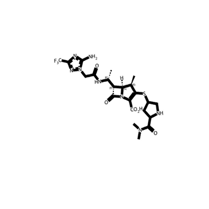 C[C@@H](NC(=O)Cn1nc(C(F)(F)F)nc1N)[C@H]1C(=O)N2C(C(=O)O)=C(SC3CNC(C(=O)N(C)C)C3)[C@H](C)[C@H]12